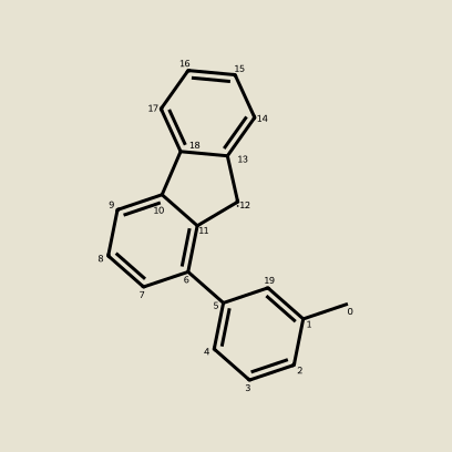 Cc1cccc(-c2cccc3c2[CH]c2ccccc2-3)c1